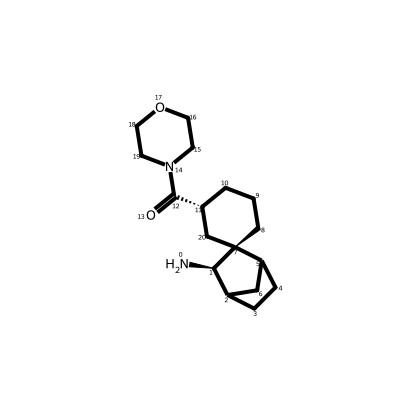 N[C@@H]1C2CCC(C2)[C@]12CCC[C@@H](C(=O)N1CCOCC1)C2